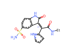 CCNC(=O)/C(=C1\C(=O)Nc2ccc(S(N)(=O)=O)cc21)c1ccc[nH]1